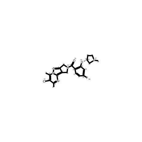 Cc1nc2c3c(nn2c(C)c1Cl)CN(C(=O)c1ccc(F)cc1O[C@@H]1CCN(C)C1)C3